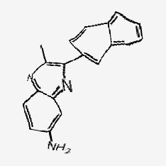 Cc1nc2ccc(N)cc2nc1-c1ccc2ccccc2c1